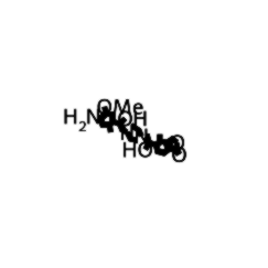 COc1cc(C(O)CN2CCN(CC(O)c3ccc4c(c3C)COC4=O)CC2)c(C)cc1N